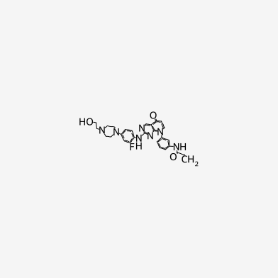 C=CC(=O)Nc1cccc(-n2ccc(=O)c3cnc(Nc4ccc(N5CCN(CCO)CC5)cc4F)nc32)c1